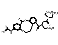 N=C(N)Nc1ccc2c(c1)CCCOc1c(cccc1C(=O)N(CC(=O)O)CC(=O)N(CC(=O)O)CC(=O)O)OC2=O